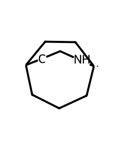 C1C[C]2CCC(C1)CCN2